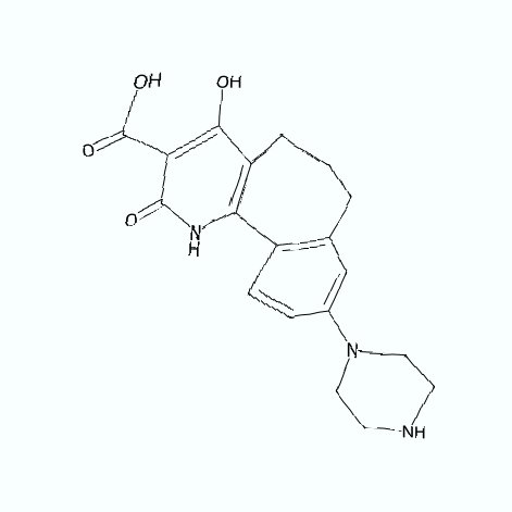 O=C(O)c1c(O)c2c([nH]c1=O)-c1ccc(N3CCNCC3)cc1CCC2